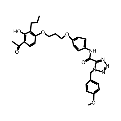 CCCc1c(OCCCOc2ccc(NC(=O)c3nnnn3Cc3ccc(OC)cc3)cc2)ccc(C(C)=O)c1O